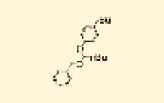 CCCCC(OCc1ccccc1)Oc1ccc(C(C)CC)cc1